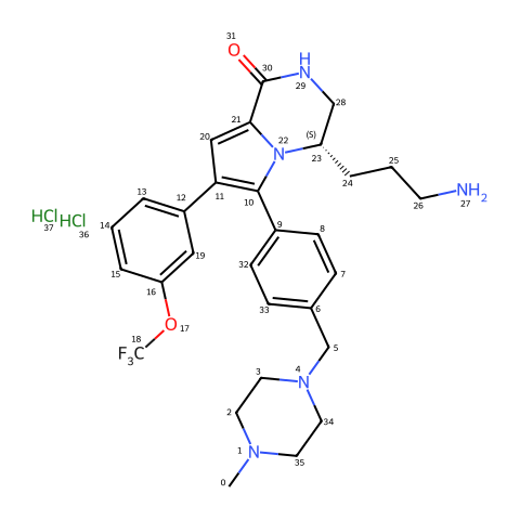 CN1CCN(Cc2ccc(-c3c(-c4cccc(OC(F)(F)F)c4)cc4n3[C@@H](CCCN)CNC4=O)cc2)CC1.Cl.Cl